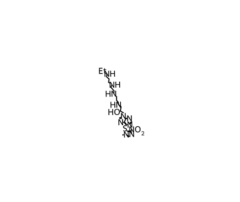 CCNCCCNCCNCCCNCC(O)Cn1cnc2c(Sc3c([N+](=O)[O-])ncn3C)ncnc21